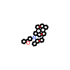 c1ccc(-c2ccc3c(c2)C2(c4ccccc4-c4ccc(N(c5ccc6c(c5)oc5ccccc56)c5cccc6ccccc56)c5cccc2c45)c2cccc4cccc-3c24)cc1